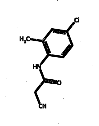 Cc1cc(Cl)ccc1NC(=O)CC#N